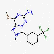 CSC1=NC(N)=NN2C1=NN(C)C2C1CCCC(C(F)(F)F)C1